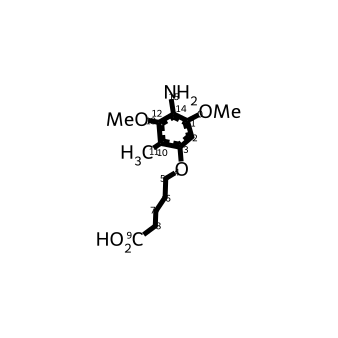 COc1cc(OCCCCC(=O)O)c(C)c(OC)c1N